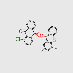 Cc1cc(C)c2sc3ccccc3c(=O)c2c1.O=C1c2ccccc2C(=O)c2c(Cl)cccc21